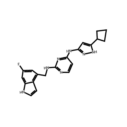 Fc1cc(CNc2nccc(Nc3cc(C4CCC4)[nH]n3)n2)c2cc[nH]c2c1